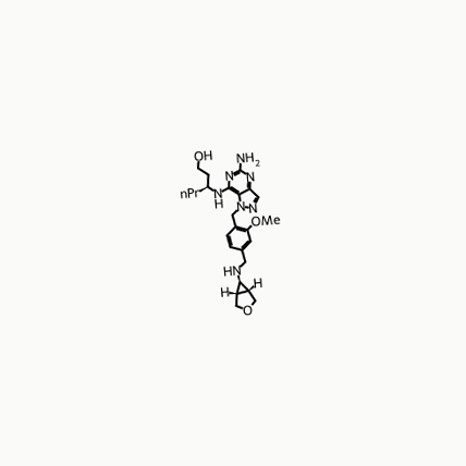 CCC[C@@H](CCO)Nc1nc(N)nc2cnn(Cc3ccc(CN[C@H]4[C@@H]5COC[C@@H]54)cc3OC)c12